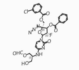 [N-]=[N+]=N[C@]1(COC(=O)c2cccc(Cl)c2)OC(n2ccc(N[C@@H](CO)COC=O)nc2=O)[C@@H](F)C1OC(=O)c1ccccc1